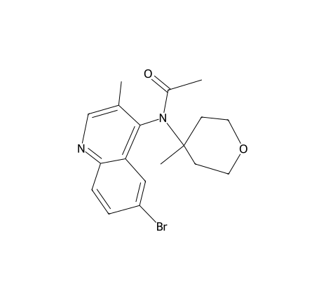 CC(=O)N(c1c(C)cnc2ccc(Br)cc12)C1(C)CCOCC1